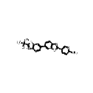 CCCC(C)(C)c1nc2ccc(-c3ccc4nc(-c5ccc(C(C)(C)C)nc5)oc4c3)cc2o1